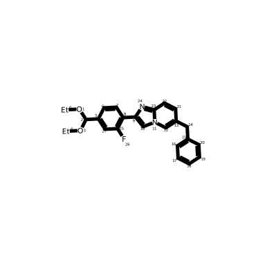 CCOC(OCC)c1ccc(-c2cn3cc(Cc4ccccc4)ccc3n2)c(F)c1